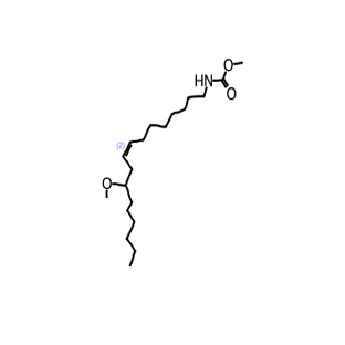 CCCCCCC(C/C=C\CCCCCCCNC(=O)OC)OC